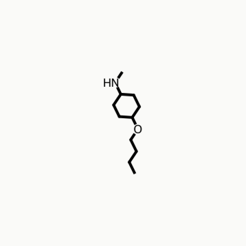 CCCCOC1CCC(NC)CC1